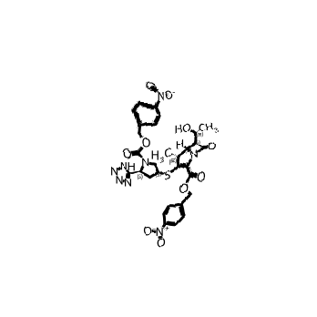 C[C@@H](O)[C@H]1C(=O)N2C(C(=O)OCc3ccc([N+](=O)[O-])cc3)=C(S[C@H]3C[C@@H](c4nnn[nH]4)N(C(=O)OCc4ccc([N+](=O)[O-])cc4)C3)[C@H](C)[C@H]12